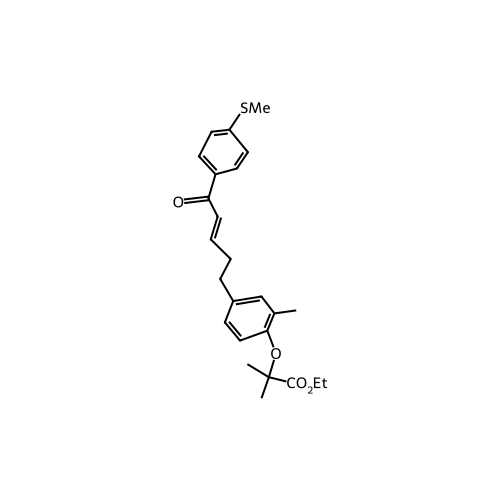 CCOC(=O)C(C)(C)Oc1ccc(CC/C=C/C(=O)c2ccc(SC)cc2)cc1C